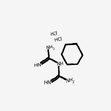 C1CCCCC1.Cl.Cl.N=C(N)NC(=N)N